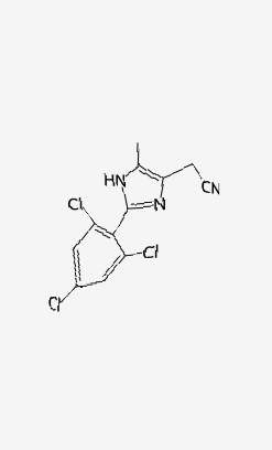 Cc1[nH]c(-c2c(Cl)cc(Cl)cc2Cl)nc1CC#N